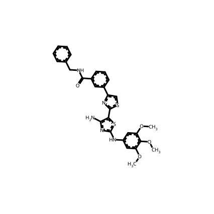 COc1cc(Nc2nc(N)c(-c3nc(-c4cccc(C(=O)NCc5ccccc5)c4)cs3)s2)cc(OC)c1OC